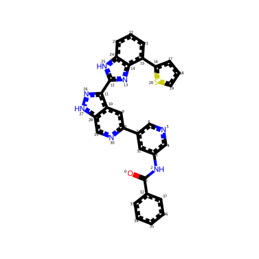 O=C(Nc1cncc(-c2cc3c(-c4nc5c(-c6cccs6)cccc5[nH]4)n[nH]c3cn2)c1)c1ccccc1